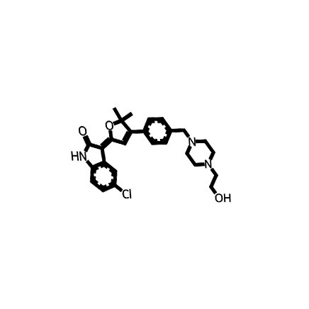 CC1(C)OC(=C2C(=O)Nc3ccc(Cl)cc32)C=C1c1ccc(CN2CCN(CCO)CC2)cc1